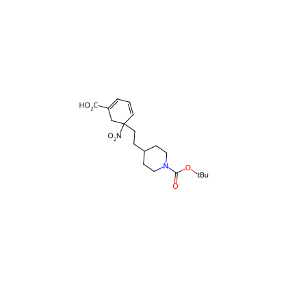 CC(C)(C)OC(=O)N1CCC(CCC2([N+](=O)[O-])C=CC=C(C(=O)O)C2)CC1